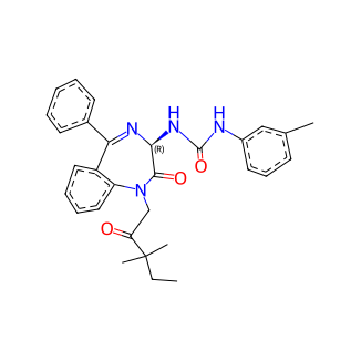 CCC(C)(C)C(=O)CN1C(=O)[C@H](NC(=O)Nc2cccc(C)c2)N=C(c2ccccc2)c2ccccc21